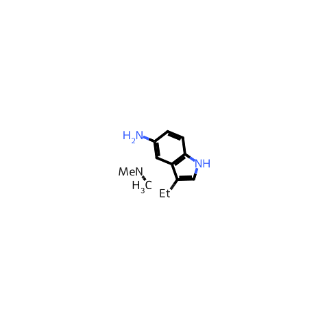 CCc1c[nH]c2ccc(N)cc12.CNC